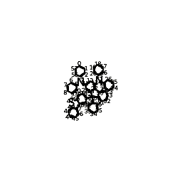 c1ccc(N(c2ccccc2)c2cc(N(c3ccccc3)c3ccccc3)c3c(c2)C(c2ccccc2)(c2ccc4sc5ccccc5c4c2)c2ccccc2-3)cc1